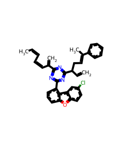 C=CC(C/C=C(\C)c1ccccc1)c1nc(C(=C)/C=C\C=C/C)nc(-c2cccc3oc4ccc(Cl)cc4c23)n1